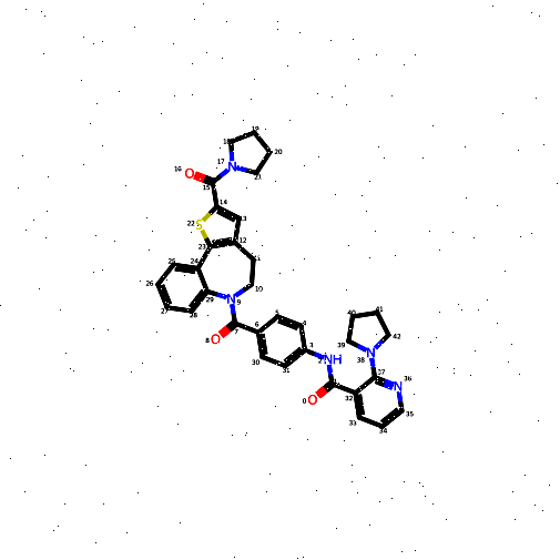 O=C(Nc1ccc(C(=O)N2CCc3cc(C(=O)N4CCCC4)sc3-c3ccccc32)cc1)c1cccnc1N1CCCC1